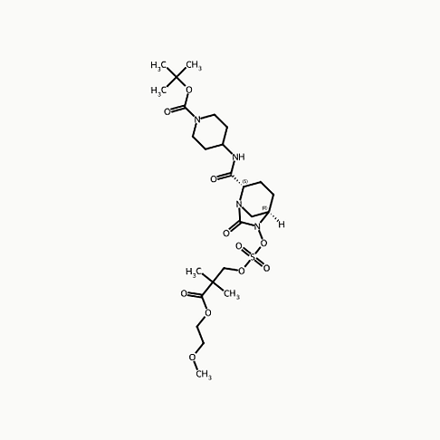 COCCOC(=O)C(C)(C)COS(=O)(=O)ON1C(=O)N2C[C@H]1CC[C@H]2C(=O)NC1CCN(C(=O)OC(C)(C)C)CC1